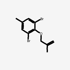 C=C(C)COc1c(Br)cc(C)cc1Br